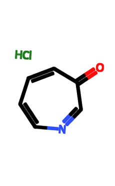 Cl.O=c1ccccnc1